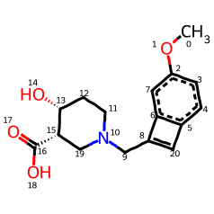 COc1ccc2c(c1)C(CN1CC[C@@H](O)[C@@H](C(=O)O)C1)=C2